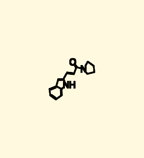 O=C(C=Cc1cc2ccccc2[nH]1)N1CCCC1